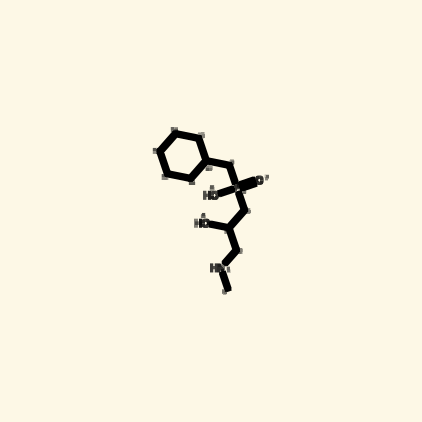 CNCC(O)CP(=O)(O)CC1CCCCC1